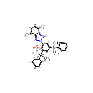 CC(C)(c1ccccc1)c1cc(-n2nc3c(Br)ccc(Br)c3n2)c(O)c(C(C)(C)c2ccccc2)c1